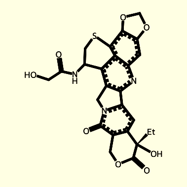 CC[C@@]1(O)C(=O)OCc2c1cc1n(c2=O)Cc2c-1nc1cc3c(c4c1c2C(NC(=O)CO)CS4)OCO3